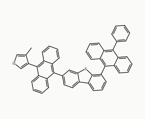 Cc1cocc1-c1c2ccccc2c(-c2ccc3c(c2)sc2c(-c4c5ccccc5c(-c5ccccc5)c5ccccc45)cccc23)c2ccccc12